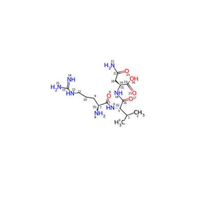 CC(C)[C@H](NC(=O)[C@@H](N)CCCNC(=N)N)C(=O)N[C@@H](CC(N)=O)C(=O)O